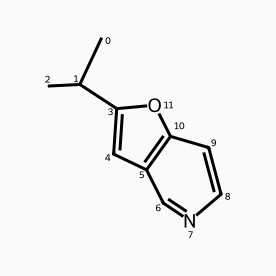 CC(C)c1cc2cnccc2o1